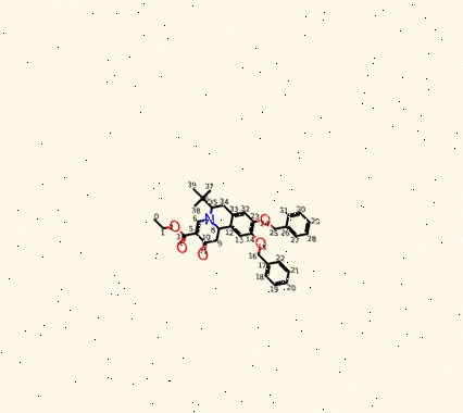 CCOC(=O)C1=CN2C(CC1=O)c1cc(OCc3ccccc3)c(OCc3ccccc3)cc1CC2C(C)(C)C